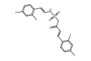 O=C(C=Cc1ccc(F)cc1F)CS(=O)(=O)NC=Cc1ccc(F)cc1F